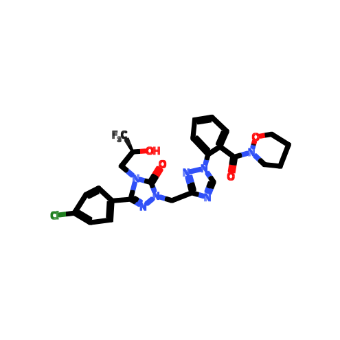 O=C(c1ccccc1-n1cnc(Cn2nc(-c3ccc(Cl)cc3)n(C[C@H](O)C(F)(F)F)c2=O)n1)N1CCCCO1